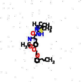 C=CCc1ccccc1OCCOc1ccc(/C=C(\C#N)C(=O)Nc2nnc(C(C)(C)C)s2)cc1OC